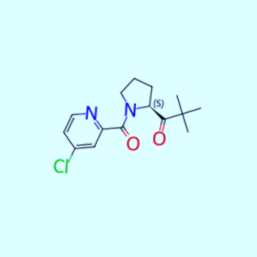 CC(C)(C)C(=O)[C@@H]1CCCN1C(=O)c1cc(Cl)ccn1